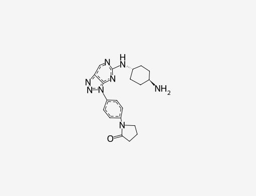 N[C@H]1CC[C@H](Nc2ncc3nnn(-c4ccc(N5CCCC5=O)cc4)c3n2)CC1